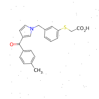 Cc1ccc(C(=O)c2ccn(Cc3cccc(SCC(=O)O)c3)c2)cc1